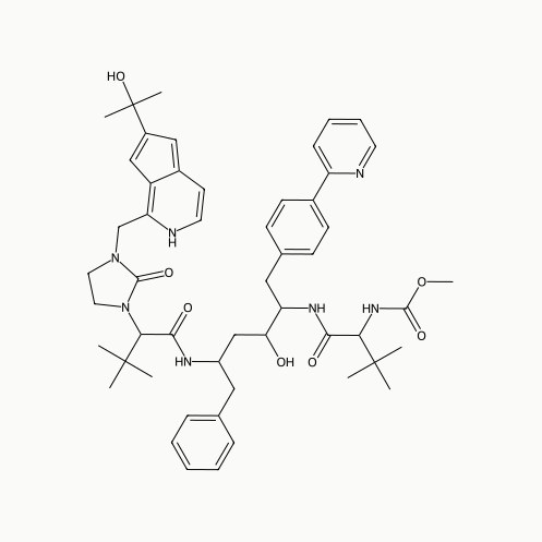 COC(=O)NC(C(=O)NC(Cc1ccc(-c2ccccn2)cc1)C(O)CC(Cc1ccccc1)NC(=O)C(N1CCN(Cc2[nH]ccc3cc(C(C)(C)O)cc2-3)C1=O)C(C)(C)C)C(C)(C)C